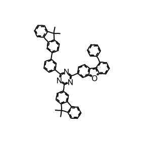 CC1(C)c2ccccc2-c2cc(-c3cccc(-c4nc(-c5ccc6c(c5)-c5ccccc5C6(C)C)nc(-c5ccc6c(c5)oc5cccc(-c7ccccc7)c56)n4)c3)ccc21